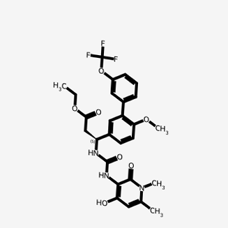 CCOC(=O)C[C@H](NC(=O)Nc1c(O)cc(C)n(C)c1=O)c1ccc(OC)c(-c2cccc(OC(F)(F)F)c2)c1